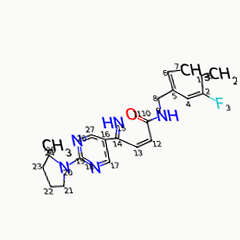 C=C/C(F)=C\C(=C/C)CNC(=O)/C=C\C(=N)c1cnc(N2CCCC2C)nc1